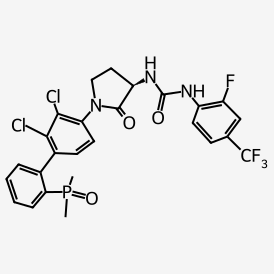 CP(C)(=O)c1ccccc1-c1ccc(N2CC[C@@H](NC(=O)Nc3ccc(C(F)(F)F)cc3F)C2=O)c(Cl)c1Cl